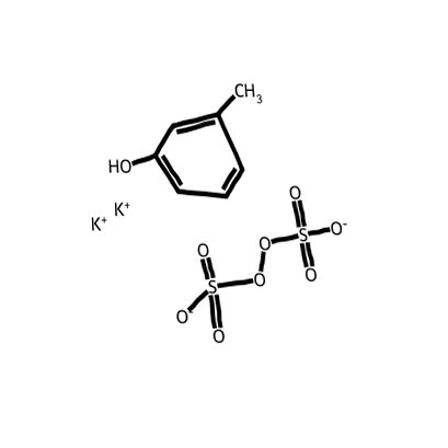 Cc1cccc(O)c1.O=S(=O)([O-])OOS(=O)(=O)[O-].[K+].[K+]